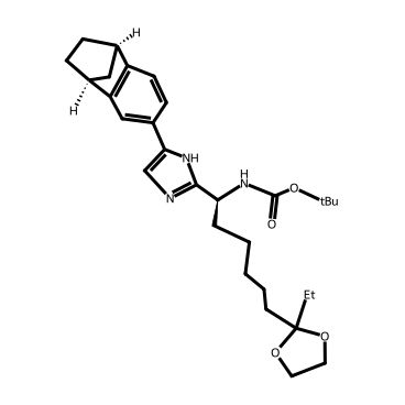 CCC1(CCCCC[C@H](NC(=O)OC(C)(C)C)c2ncc(-c3ccc4c(c3)[C@H]3CC[C@@H]4C3)[nH]2)OCCO1